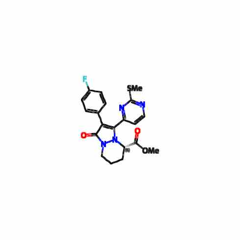 COC(=O)[C@@H]1CCCn2c(=O)c(-c3ccc(F)cc3)c(-c3ccnc(SC)n3)n21